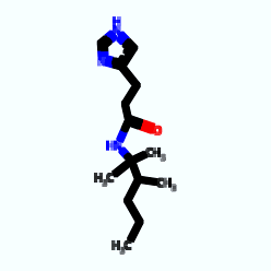 CCCC(C)C(C)(C)NC(=O)CCc1c[nH]cn1